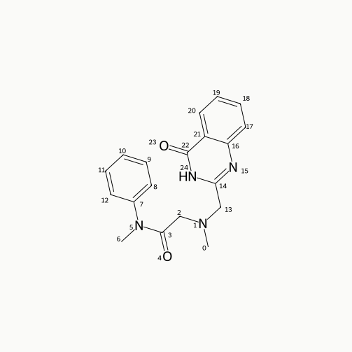 CN(CC(=O)N(C)c1ccccc1)Cc1nc2ccccc2c(=O)[nH]1